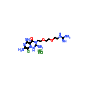 Cl.Cl.N=C(N)NCCOCCOCCN(C(=N)N)C(=O)c1nc(Cl)c(N)nc1N